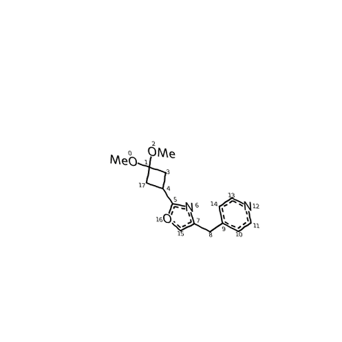 COC1(OC)CC(c2nc(Cc3ccncc3)co2)C1